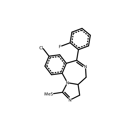 CSC1=NCC2CN=C(c3ccccc3F)c3cc(Cl)ccc3N12